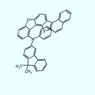 CC1(C)c2ccccc2-c2cc(N(c3ccccc3)c3cccc4oc5ccc6c(sc7ccc8ccccc8c76)c5c34)ccc21